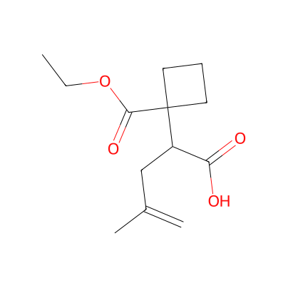 C=C(C)CC(C(=O)O)C1(C(=O)OCC)CCC1